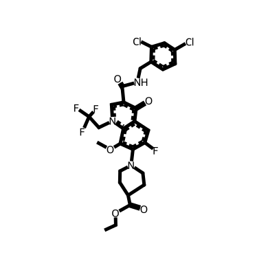 CCOC(=O)C1CCN(c2c(F)cc3c(=O)c(C(=O)NCc4ccc(Cl)cc4Cl)cn(CC(F)(F)F)c3c2OC)CC1